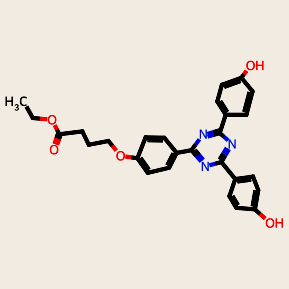 CCOC(=O)CCCOc1ccc(-c2nc(-c3ccc(O)cc3)nc(-c3ccc(O)cc3)n2)cc1